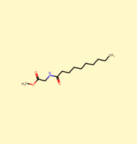 CCCCCCCCCC(=O)NCC(=O)OC